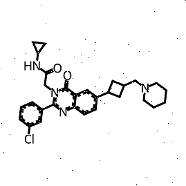 O=C(Cn1c(-c2cccc(Cl)c2)nc2ccc(C3CC(CN4CCCCC4)C3)cc2c1=O)NC1CC1